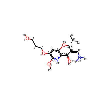 COCCCOc1cc2c(nc1OC)C(=O)C(=CN(C)C)[C@@H](C(C)C)O2